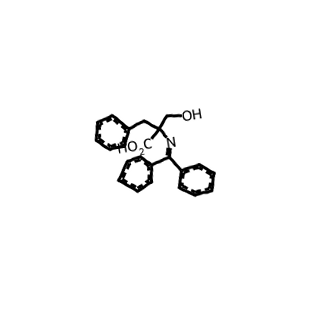 O=C(O)C(CO)(Cc1ccccc1)N=C(c1ccccc1)c1ccccc1